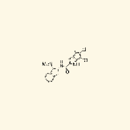 CN[C@H]1c2ccccc2C[C@H]1NC(=O)c1cc2sc(Cl)c(Cl)c2[nH]1